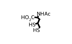 CC(=O)NC(CC(S)CS)C(=O)O